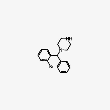 Brc1ccccc1C(c1ccccc1)N1CCNCC1